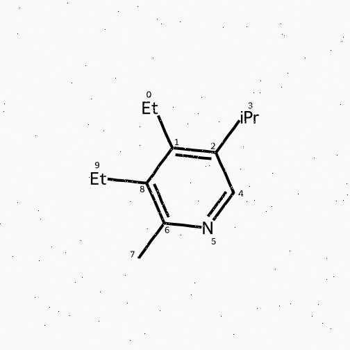 CCc1c(C(C)C)cnc(C)c1CC